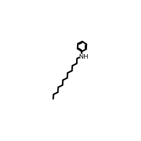 CCCCCCCCCCCCNc1ccccc1